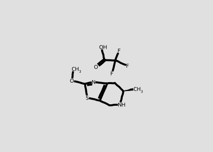 COc1nc2c(s1)CN[C@H](C)C2.O=C(O)C(F)(F)F